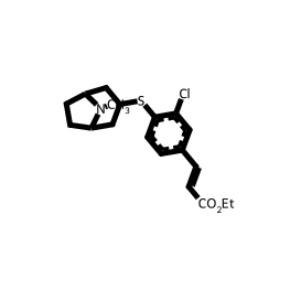 CCOC(=O)C=Cc1ccc(SC2CC3CCC(C2)N3C)c(Cl)c1